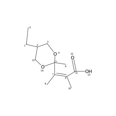 CCC1COC(C)(C(C)=C(C)C(=O)O)OC1